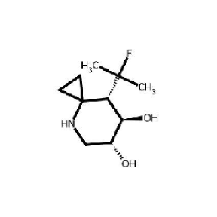 CC(C)(F)[C@@H]1[C@@H](O)[C@H](O)CNC12CC2